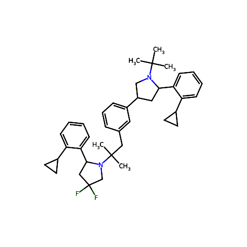 CC(C)(C)N1CC(c2cccc(CC(C)(C)N3CC(F)(F)CC3c3ccccc3C3CC3)c2)CC1c1ccccc1C1CC1